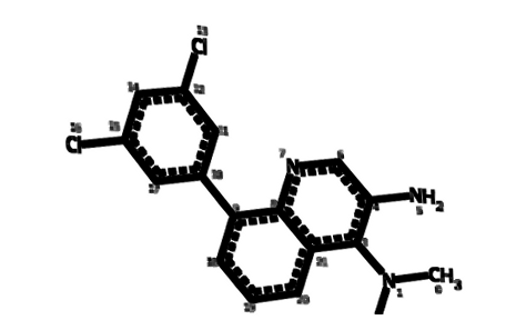 CN(C)c1c(N)cnc2c(-c3cc(Cl)cc(Cl)c3)cccc12